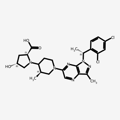 Cc1nn([C@H](C)c2ccc(Cl)cc2Cl)c2nc(N3CCC(N4C[C@H](O)C[C@H]4C(=O)O)[C@H](C)C3)cnc12